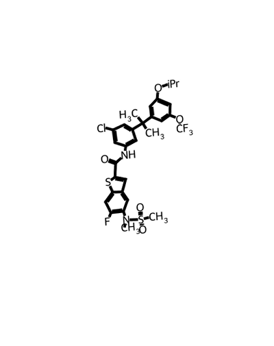 CC(C)Oc1cc(OC(F)(F)F)cc(C(C)(C)c2cc(Cl)cc(NC(=O)c3cc4cc(N(C)S(C)(=O)=O)c(F)cc4s3)c2)c1